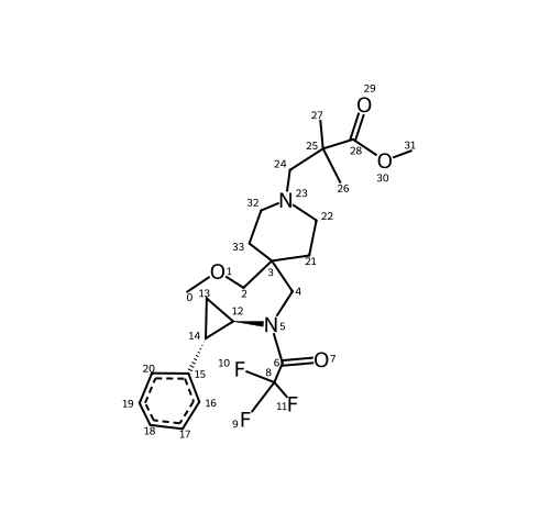 COCC1(CN(C(=O)C(F)(F)F)[C@@H]2C[C@H]2c2ccccc2)CCN(CC(C)(C)C(=O)OC)CC1